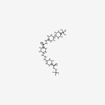 CC(C)(C)CCC(=O)N1CCC(CCCC2CCN(C(=O)CCN3CCC(C4CCN(C(C)(C)C)CC4)CC3)CC2)CC1